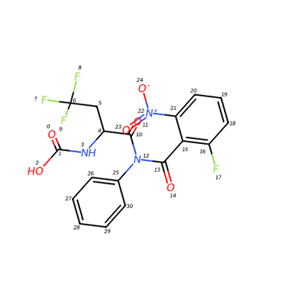 O=C(O)NC(CC(F)(F)F)C(=O)N(C(=O)c1c(F)cccc1[N+](=O)[O-])c1ccccc1